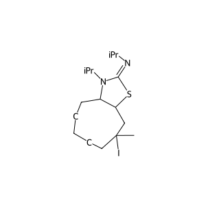 CC(C)/N=C1/SC2CC(C)(I)CCCCCC2N1C(C)C